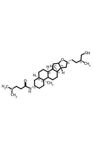 C[C@H](CO)CC[C@@H]1C[C@H]2C(CC3[C@@H]4CC[C@@H]5C[C@@H](NC(=O)CCN(C)C)CC[C@]5(C)C4CC[C@@]32C)O1